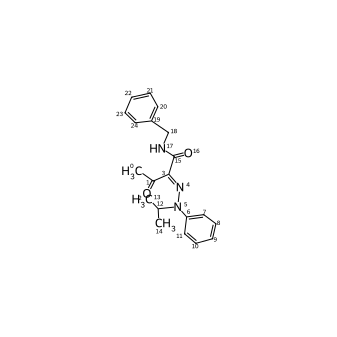 CC(=O)C(=NN(c1ccccc1)C(C)C)C(=O)NCc1ccccc1